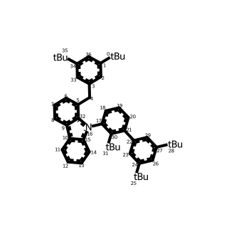 CC(C)(C)c1cc(Cc2cccc3c4ccccc4n(-c4cccc(-c5cc(C(C)(C)C)cc(C(C)(C)C)c5)c4C(C)(C)C)c23)cc(C(C)(C)C)c1